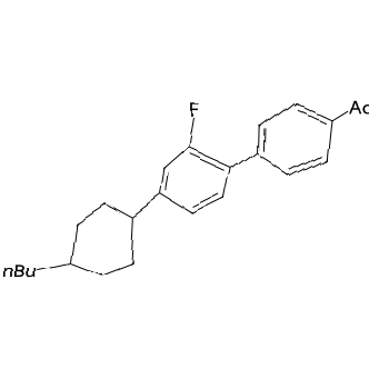 CCCCC1CCC(c2ccc(-c3ccc(C(C)=O)cc3)c(F)c2)CC1